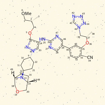 COC[C@H](C)COc1nn([C@H]2CC[C@H](N3[C@@H]4CC[C@H]3COC4)CC2)cc1Nc1ncc(-c2ccc(C#N)c(O[C@@H](C)Cn3cnnn3)c2)cn1